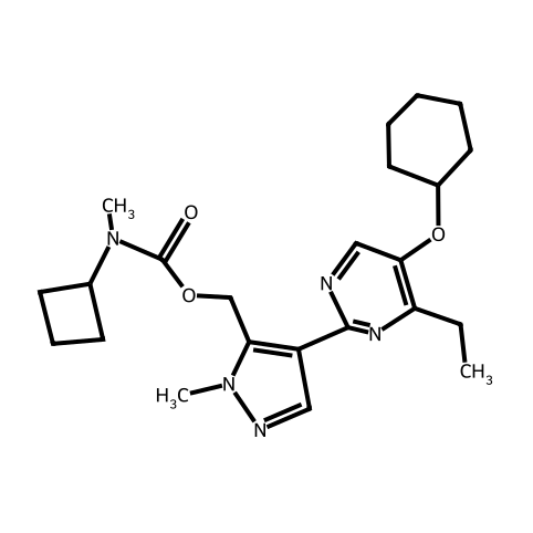 CCc1nc(-c2cnn(C)c2COC(=O)N(C)C2CCC2)ncc1OC1CCCCC1